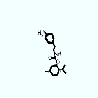 CC(C)[C@@H]1CC[C@@H](C)C[C@H]1OC(=O)NCCc1ccc(N)cc1